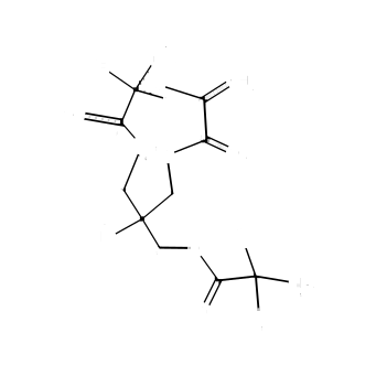 C=C(C)C(=O)OCC(CC)(COC(=O)C(F)(F)CCCC)COC(=O)C(F)(F)CCCC